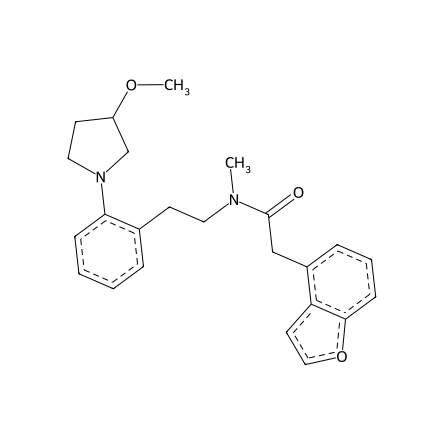 COC1CCN(c2ccccc2CCN(C)C(=O)Cc2cccc3occc23)C1